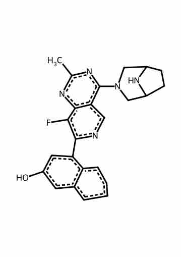 Cc1nc(N2CC3CCC(C2)N3)c2cnc(-c3cc(O)cc4ccccc34)c(F)c2n1